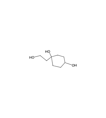 OCCC1(O)CCC(O)CC1